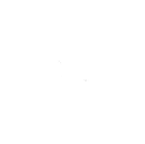 CCC(N)/C(C)=C/C(N)CF